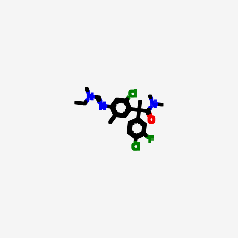 CCN(C)C=Nc1cc(Cl)c(C(C)(C(=O)N(C)C)c2ccc(Cl)c(F)c2)cc1C